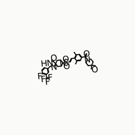 Cc1cc(C(=O)N2CCC3(CC2)COC3)cc(C)c1/C=C/S(=O)(=O)N1CCC2(CC1)N=C(c1ccc(F)c(C(F)(F)F)c1)NC2=O